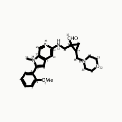 COc1ccccc1-c1cc2cc(NCC3(C=O)CC3CN3CCOCC3)ncc2n1C